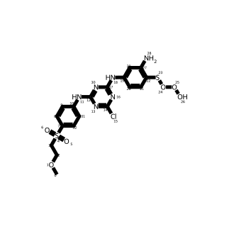 COCCS(=O)(=O)c1ccc(Nc2nc(Cl)nc(Nc3ccc(SOOO)c(N)c3)n2)cc1